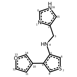 c1nc(CNc2cscc2-c2ccoc2)c[nH]1